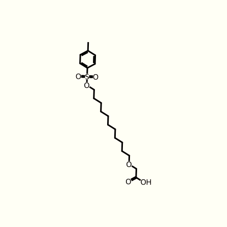 Cc1ccc(S(=O)(=O)OCCCCCCCCCCCOCC(=O)O)cc1